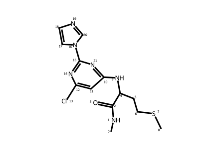 CNC(=O)C(CCSC)Nc1cc(Cl)nc(-n2ccnc2)n1